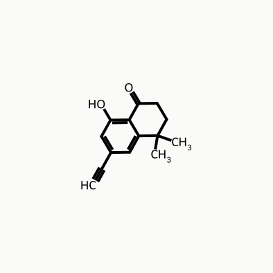 C#Cc1cc(O)c2c(c1)C(C)(C)CCC2=O